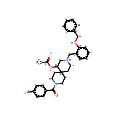 O=C(c1ccc(Cl)cc1)N1CCC2(CCN(Cc3ccccc3OCc3ccccc3)CC2OC(=O)C(F)(F)F)CC1